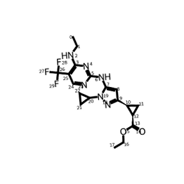 CCNc1nc(Nc2cc([C@H]3C[C@H]3C(=O)OCC)nn2C2CC2)ncc1C(F)(F)F